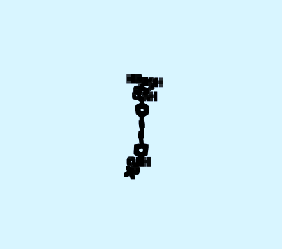 CC(C)(C)OC(=O)Nc1ccc(C#CC#Cc2ccc(C(=O)N[C@H](CO)C(=O)NO)cc2)cc1